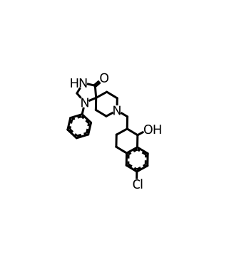 O=C1NCN(c2ccccc2)C12CCN(CC1CCc3cc(Cl)ccc3C1O)CC2